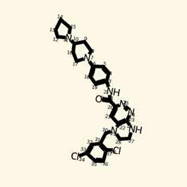 O=C(Nc1ccc(N2CCC(N3CCCC3)CC2)cc1)c1cc2c(nn1)NCCN2Cc1cc(Cl)ccc1Cl